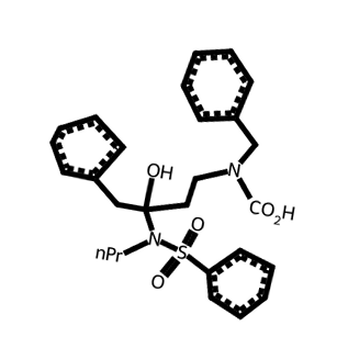 CCCN(C(O)(CCN(Cc1ccccc1)C(=O)O)Cc1ccccc1)S(=O)(=O)c1ccccc1